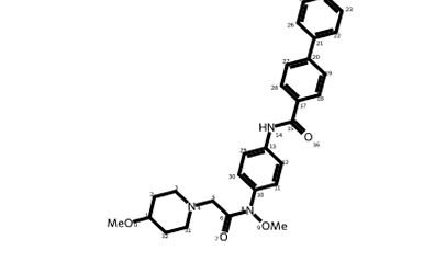 COC1CCN(CC(=O)N(OC)c2ccc(NC(=O)c3ccc(-c4ccccc4)cc3)cc2)CC1